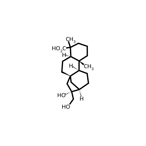 CC1(C(=O)O)CCC[C@@]2(C)[C@H]1CC[C@]13C[C@@H](CC[C@@H]12)[C@@](O)(CO)C3